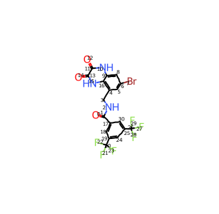 O=C(NCc1cc(Br)cc2[nH]c(=O)c(=O)[nH]c12)c1cc(C(F)(F)F)cc(C(F)(F)F)c1